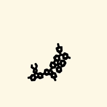 CCCCC1(CCCC)c2cc(C)ccc2-c2ccc(-c3ccc4c(c3)c3cc(C)ccc3n4-c3ccc4c(c3)C(c3ccccc3)(c3ccccc3)c3cc(N(c5ccc(C)cc5)c5ccc(C)cc5)ccc3-4)cc21